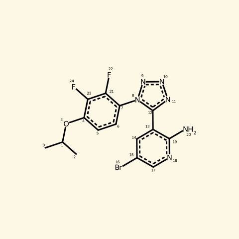 CC(C)Oc1ccc(-n2nnnc2-c2cc(Br)cnc2N)c(F)c1F